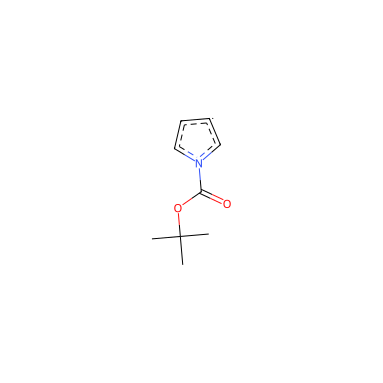 CC(C)(C)OC(=O)n1c[c]cc1